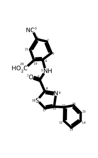 N#Cc1ccc(NC(=O)c2nc(-c3ccccc3)cs2)c(C(=O)O)c1